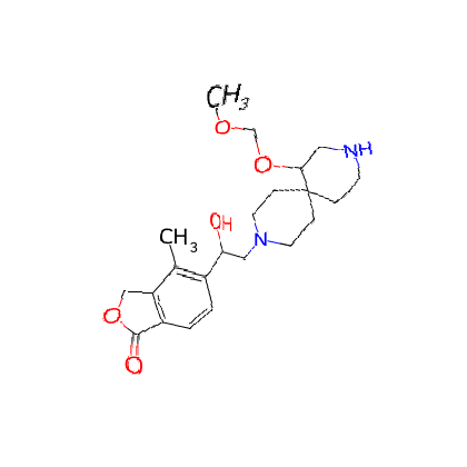 COCOC1CNCCC12CCN(CC(O)c1ccc3c(c1C)COC3=O)CC2